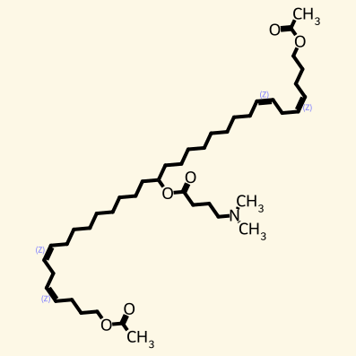 CC(=O)OCCC/C=C\C/C=C\CCCCCCCCC(CCCCCCCC/C=C\C/C=C\CCCOC(C)=O)OC(=O)CCCN(C)C